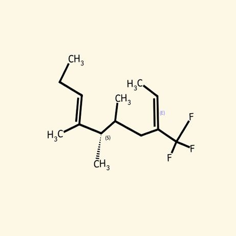 C/C=C(\CC(C)[C@H](C)C(C)=CCC)C(F)(F)F